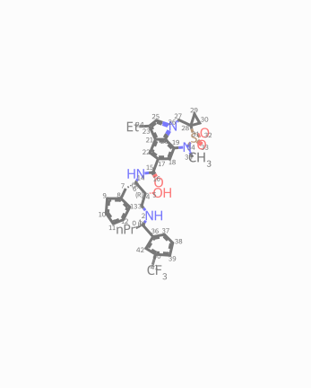 CCC[C@@H](NC[C@@H](O)[C@H](Cc1ccccc1)NC(=O)c1cc2c3c(c1)c(CC)cn3CC1(CC1)S(=O)(=O)N2C)c1cccc(C(F)(F)F)c1